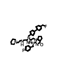 O=c1nc(SCc2ccc(F)cc2)n(Cc2nnc(CNCCN3CCCCC3)n2Cc2ccc(-c3ccc(CF)cc3)cc2)c2c1CCC2